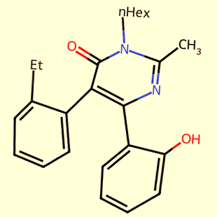 CCCCCCn1c(C)nc(-c2ccccc2O)c(-c2ccccc2CC)c1=O